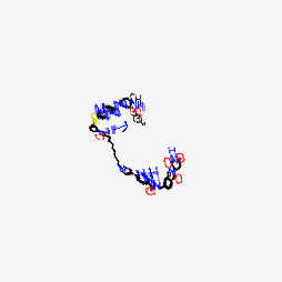 CC1(NC(=O)OC(C)(C)C)CCN(c2cnc(Sc3cccc(NC(=O)CCCCCCCCN4CC=C(c5ccc(C(=O)NCc6ccc7c(c6)CN(C6CCC(=O)NC6=O)C7=O)nn5)CC4)c3)cn2)CC1